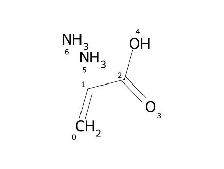 C=CC(=O)O.N.N